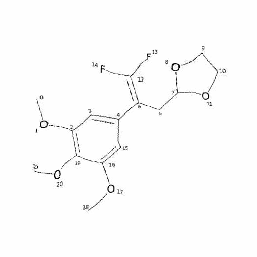 COc1cc(C(CC2OCCO2)=C(F)F)cc(OC)c1OC